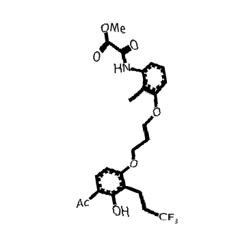 COC(=O)C(=O)Nc1cccc(OCCCOc2ccc(C(C)=O)c(O)c2CCC(F)(F)F)c1C